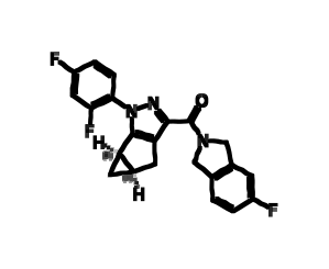 O=C(c1nn(-c2ccc(F)cc2F)c2c1C[C@H]1C[C@@H]21)N1Cc2ccc(F)cc2C1